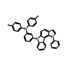 Cc1ccc(N(c2ccc(C)cc2)c2cccc(-n3c4ccccc4c4c5c(ccc43)ccn5-c3ccccc3)c2)cc1